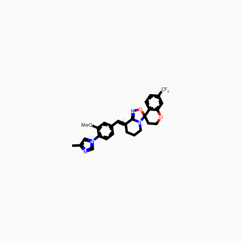 COc1cc(/C=C2\CCCN3C2=NOC32CCOc3cc(C(F)(F)F)ccc32)ccc1-n1cnc(C)c1